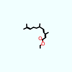 CCOC(=O)C=C(C)C=CC(C)CCC=C(C)C